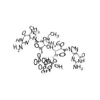 CCC1C[C@H]1CCC1C(OC)[C@H](n2cnc3c(=O)[nH]c(N)nc32)O[C@@H]1COP(=O)(O)OP(=O)(O)OP(=O)(O)OC[C@H]1O[C@@H](n2c[n+](C)c3c(=O)[nH]c(N)nc32)[C@@H](O)C1O